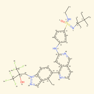 CCN[S@@](=O)(=N[Si](C)(C)C(C)(C)C)c1ccc(Nc2cc3c(-c4ccc5c(cnn5CC(O)(C(F)(F)F)C(F)(F)F)c4C)nccc3cn2)cc1